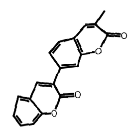 Cc1cc2ccc(-c3cc4ccccc4oc3=O)cc2oc1=O